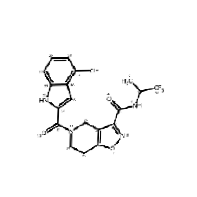 CC(NC(=O)c1noc2c1CN(C(=O)c1cc3c(Cl)cccc3[nH]1)CC2)C(F)(F)F